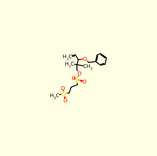 C=CC(OCc1ccccc1)C(C)(C)COS(=O)(=O)CCCS(C)(=O)=O